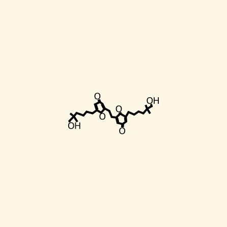 CC(C)(CO)CCCCC1=CC(=O)C=C(CCC2=CC(=O)C=C(CCCCC(C)(C)CO)C2=O)C1=O